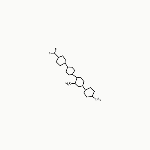 CC1CCC(C2CCC(C3CCC(C4CCC(C(F)F)CC4)CC3)C(C)C2)CC1